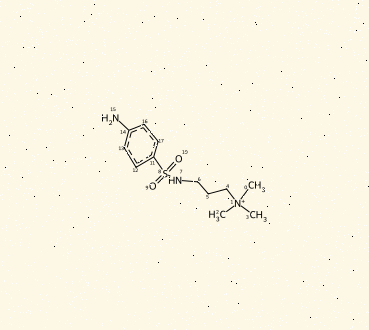 C[N+](C)(C)CCCNS(=O)(=O)c1ccc(N)cc1